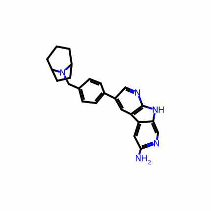 Nc1cc2c(cn1)[nH]c1ncc(-c3ccc(CN4C5CCCC4CC5)cc3)cc12